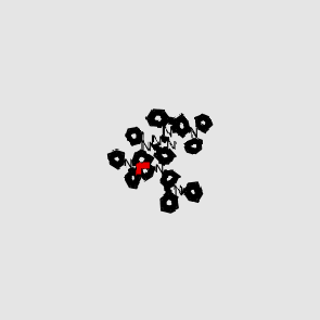 c1ccc(N(c2ccc3nc(-n4c5ccccc5c5ccc(N(c6ccccc6)c6ccccc6)cc54)nc(N(c4ccccc4)c4ccc5c6ccccc6n(-c6ccccc6)c5c4)c3c2)c2ccc3c(c2)c2ccccc2n3-c2ccccc2)cc1